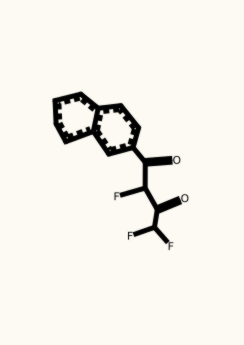 O=C(c1ccc2ccccc2c1)C(F)C(=O)C(F)F